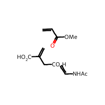 C=C(CC(=O)O)C(=O)O.C=CC(=O)OC.C=CNC(C)=O